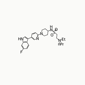 CCCN(CC)CCS(=O)(=O)NC1CCN(c2ccc(-c3c[nH]c4cc(F)ccc34)cn2)CC1